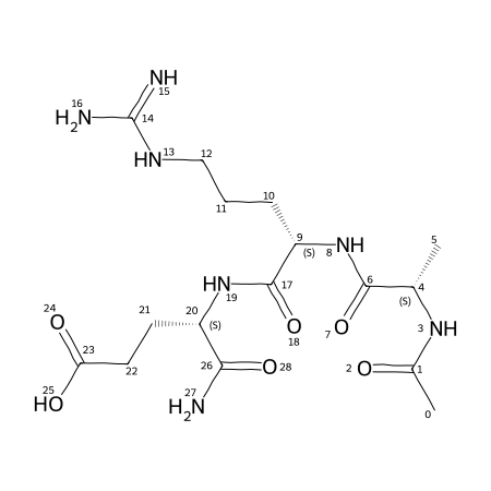 CC(=O)N[C@@H](C)C(=O)N[C@@H](CCCNC(=N)N)C(=O)N[C@@H](CCC(=O)O)C(N)=O